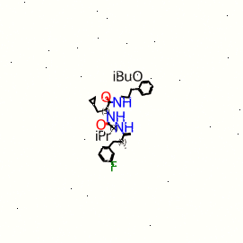 C=C(N[C@@H](C(=O)N[C@@H](CC1CC1)C(=O)NCCCc1ccccc1OCC(C)C)C(C)C)[C@H](C)Cc1cccc(F)c1